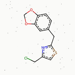 ClCc1csc(Cc2ccc3c(c2)OCO3)n1